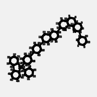 c1ccc(-c2ccc3ccc4ccc(-c5ccc6cc(-c7ccc(-c8ccc([Si]9(c%10ccccc%10)c%10ccccc%10-c%10ccccc%109)cc8)cc7)ccc6c5)nc4c3n2)cc1